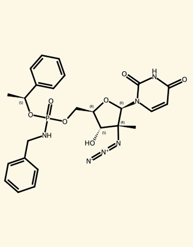 C[C@H](OP(=O)(NCc1ccccc1)OC[C@H]1O[C@@H](n2ccc(=O)[nH]c2=O)[C@](C)(N=[N+]=[N-])[C@@H]1O)c1ccccc1